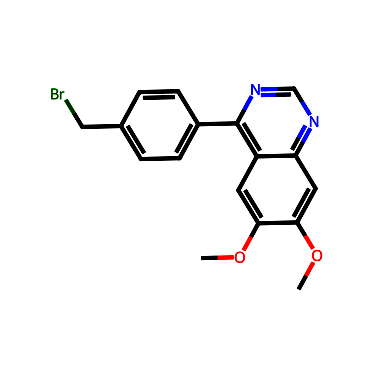 COc1cc2ncnc(-c3ccc(CBr)cc3)c2cc1OC